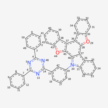 c1ccc(-c2nc(-c3ccccc3)nc(-c3cccc(-n4c5ccccc5c5c6oc7ccccc7c6c6c7ccccc7oc6c54)c3)n2)cc1